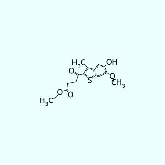 CCOC(=O)CCC(=O)c1sc2cc(OC)c(O)cc2c1C